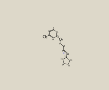 Clc1cccc(OCC/C=C/C2CCCC2)c1